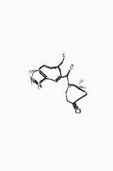 C[C@@H]1CC(=O)CCN1C(=O)c1cc2nn[nH]c2cc1F